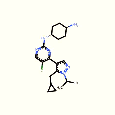 CC(C)n1ncc(-c2nc(N[C@H]3CC[C@H](N)CC3)ncc2Cl)c1CC1CC1